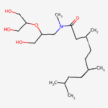 CC(C)CCC(C)CCC(C)CC(=O)N(C)CC(CO)OC(CO)CO